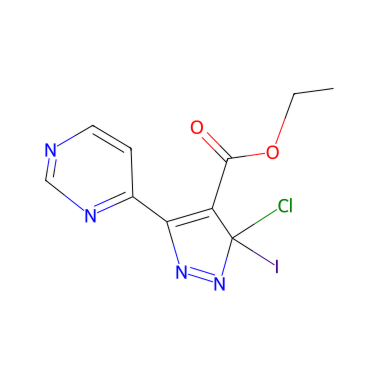 CCOC(=O)C1=C(c2ccncn2)N=NC1(Cl)I